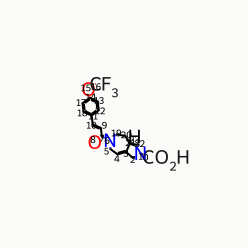 O=C(O)N1CC2=CCN(C(=O)C=Cc3ccc(OC(F)(F)F)cc3)CC[C@@H]2C1